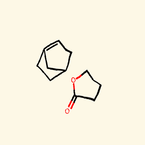 C1=C2CCC(C1)C2.O=C1CCCO1